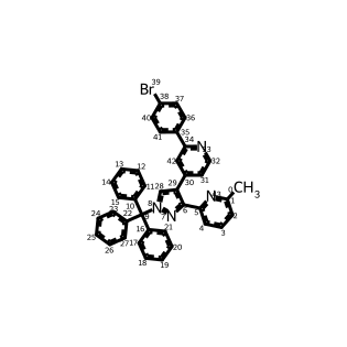 Cc1cccc(-c2nn(C(c3ccccc3)(c3ccccc3)c3ccccc3)cc2-c2ccnc(-c3ccc(Br)cc3)c2)n1